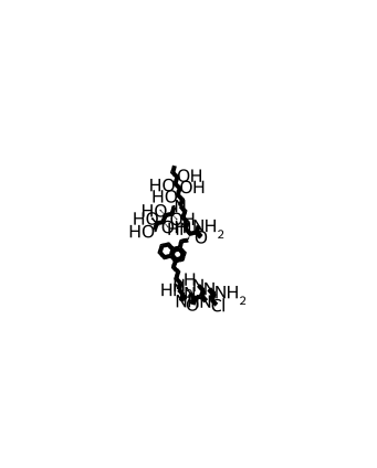 CC[C@@H](O)[C@@H](O)[C@H](O)[C@@H](O)CN(CCCN[C@@H](CCc1ccc(CCCCNC(=N)NC(=O)c2nc(Cl)c(N)nc2N)c2c1CCCC2)C(N)=O)C[C@H](O)[C@@H](O)[C@H](O)[C@H](O)CO